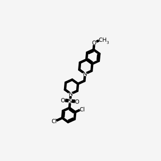 COc1ccc2c(c1)CCN(CC1CCCN(S(=O)(=O)c3cc(Cl)ccc3Cl)C1)C2